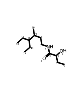 CCC(O)C(=O)NCCC(C)C(CC)CC